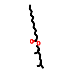 CCCCCCCCCCCC(=O)OC/C=C(\C)CCC=C(C)C